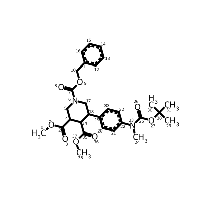 COC(=O)C1CN(C(=O)OCc2ccccc2)CC(c2ccc(N(C)C(=O)OC(C)(C)C)cc2)C1C(=O)OC